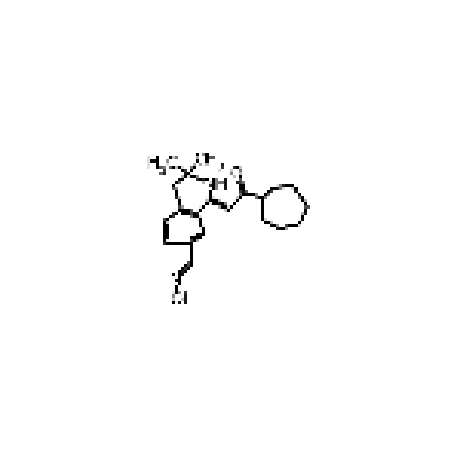 CC1(C)Cc2ccc(/C=N/O)cc2/C(=C/C(=O)C2CCCCCC2)N1